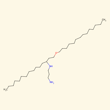 CCCCCCCCCCCCCCOCCC(CCCCCCCCCCCC)NCCCN